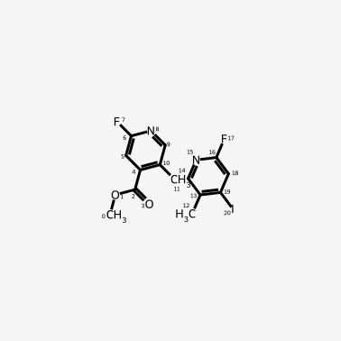 COC(=O)c1cc(F)ncc1C.Cc1cnc(F)cc1I